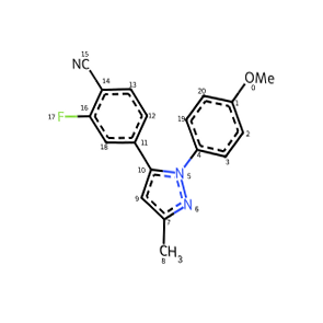 COc1ccc(-n2nc(C)cc2-c2ccc(C#N)c(F)c2)cc1